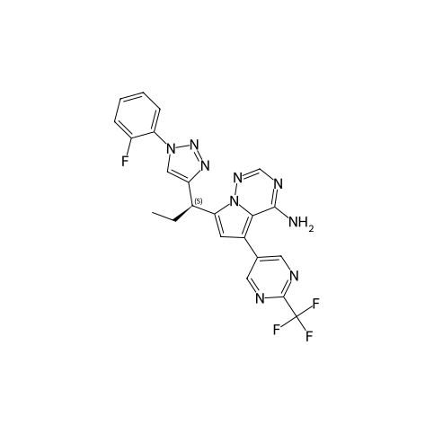 CC[C@@H](c1cn(-c2ccccc2F)nn1)c1cc(-c2cnc(C(F)(F)F)nc2)c2c(N)ncnn12